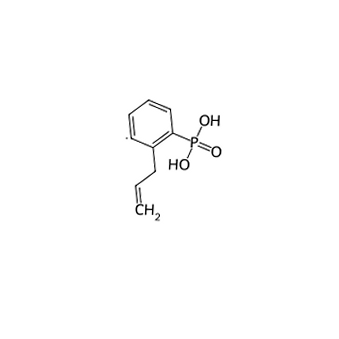 C=CCc1[c]cccc1P(=O)(O)O